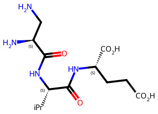 CC(C)[C@H](NC(=O)[C@@H](N)CN)C(=O)N[C@@H](CCC(=O)O)C(=O)O